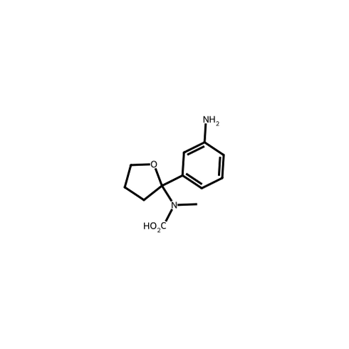 CN(C(=O)O)C1(c2cccc(N)c2)CCCO1